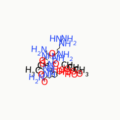 CC(=O)O.CC(=O)O.CC(=O)O.CC(C)[C@H](NC(=O)[C@H](CC(N)=O)NC(=O)[C@H](CCCCN)NC(=O)[C@@H](N)CCCNC(=N)N)C(=O)N[C@@H](Cc1ccc(O)cc1)C(N)=O